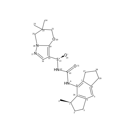 C[C@@H]1CCc2cc3c(c(NC(=O)N[S@+]([O-])c4cnn5c4OCC(C)(C)C5)c21)CCC3